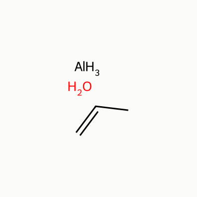 C=CC.O.[AlH3]